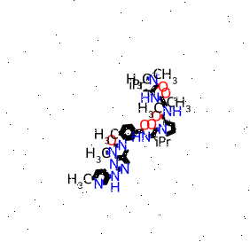 Cc1ccc(Nc2ncc3c(n2)N(C)C(=O)N(c2cc(C(=O)N[C@H](C(=O)N4CCC[C@@H]4C(=O)NC(C)(C)C(=O)N[C@@H](CC(C)C)C(=O)N(C)C)C(C)C)ccc2C)C3)cn1